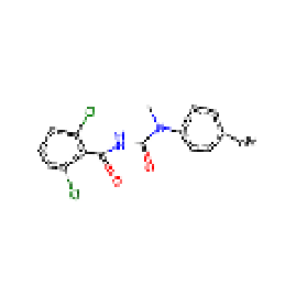 CCCc1ccc(N(C)C(=O)NC(=O)c2c(Cl)cccc2Cl)cc1